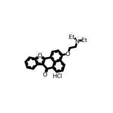 CCN(CC)CCOc1ccc2c3c(cccc13)C(=O)c1c-2oc2ccccc12.Cl